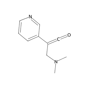 CN(C)CC(=C=O)c1cccnc1